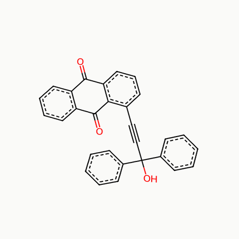 O=C1c2ccccc2C(=O)c2c(C#CC(O)(c3ccccc3)c3ccccc3)cccc21